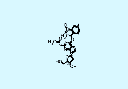 CC(=O)Nc1nc(OC(C)c2ccc(I)cc2[N+](=O)[O-])c2ncn([C@H]3C[C@@H](O)[C@@H](CO)O3)c2n1